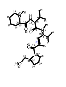 C/C(=C\[C@H](C(C)C)N(C)C(=O)[C@@H](NC(=O)[C@H]1CCCCN1C)C(C)C)C(=O)N1CCC[C@H]1CO